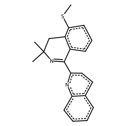 CSc1cccc2c1CC(C)(C)N=C2c1ccc2ccccc2n1